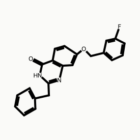 O=c1[nH]c(Cc2ccccc2)nc2cc(OCc3cccc(F)c3)ccc12